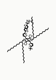 CCCCCCCCCCCCC(CCCCCCCCCC)CN1C(=O)C2=C(c3ccc(C(C)(C)C)s3)N(CC(CCCCCCCCCC)CCCCCCCCCCCC)C(=O)C2=C1c1ccc(-c2cc3sc(C(C)(C)N)cc3s2)s1